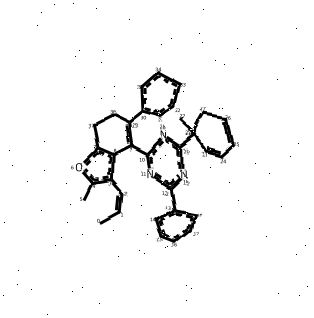 C/C=C\c1c(C)oc2c1C(c1nc(-c3ccccc3)nc(C3(C)C=CC=CC3)n1)=C(c1ccccc1)CC2